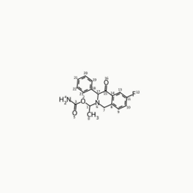 CC(OC(N)=O)N1Cc2ccc(F)cc2C(=O)C1c1ccccc1